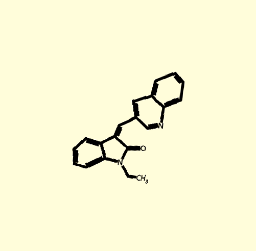 CCN1C(=O)/C(=C\c2cnc3ccccc3c2)c2ccccc21